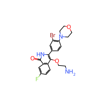 NCCOc1c(-c2ccc(N3CCOCC3)c(Br)c2)[nH]c(=O)c2cc(F)ccc12